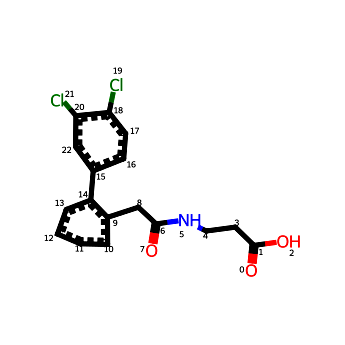 O=C(O)CCNC(=O)Cc1ccccc1-c1ccc(Cl)c(Cl)c1